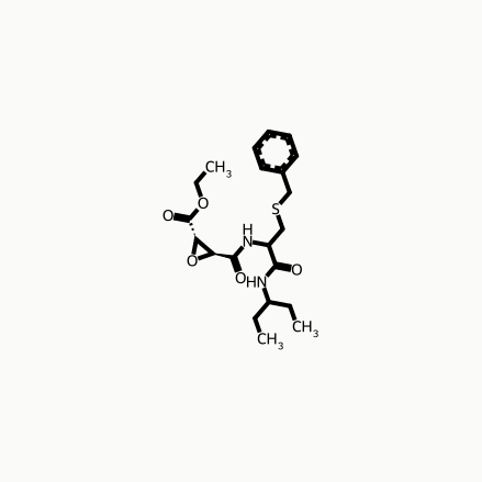 CCOC(=O)[C@H]1O[C@@H]1C(=O)NC(CSCc1ccccc1)C(=O)NC(CC)CC